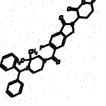 CC1(C)CN(C(=O)c2cc3c(cc2F)C(=O)N(C2CCC(=O)NC2=O)C3)CCN1C(c1ccccc1)c1ccccc1